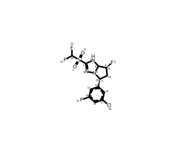 O=S(=O)(C1=NN2C(N1)[C@@H](F)C[C@H]2c1cc(F)cc(Cl)c1)C(F)F